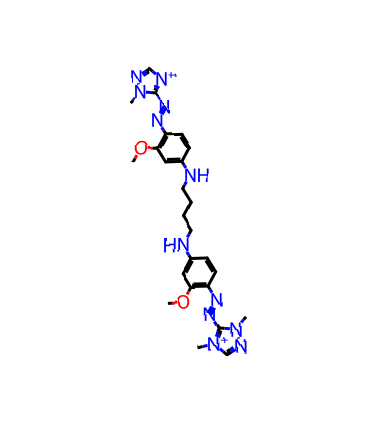 COc1cc(NCCCCNc2ccc(N=Nc3n(C)nc[n+]3C)c(OC)c2)ccc1N=Nc1n(C)nc[n+]1C